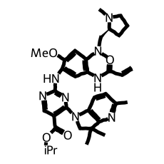 C=CC(=O)Nc1cc(Nc2ncc(C(=O)OC(C)C)c(N3CC(C)(C)c4nc(C)ccc43)n2)c(OC)cc1N(C)C[C@@H]1CCCN1C